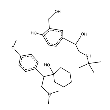 CC(C)(C)NCC(O)c1ccc(O)c(CO)c1.COc1ccc(C(CN(C)C)C2(O)CCCCC2)cc1